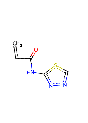 C=CC(=O)Nc1nncs1